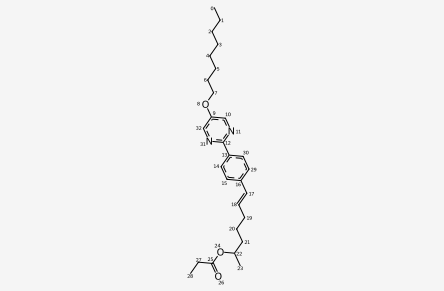 CCCCCCCCOc1cnc(-c2ccc(C=CCCCC(C)OC(=O)CC)cc2)nc1